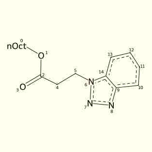 CCCCCCCCOC(=O)CCn1nnc2ccccc21